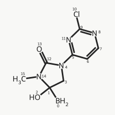 BC1(O)CN(c2ccnc(Cl)n2)C(=O)N1C